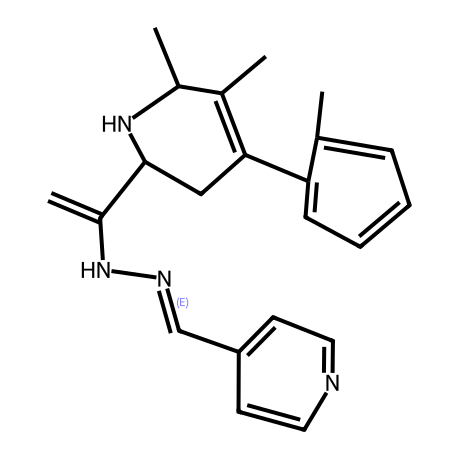 C=C(N/N=C/c1ccncc1)C1CC(c2ccccc2C)=C(C)C(C)N1